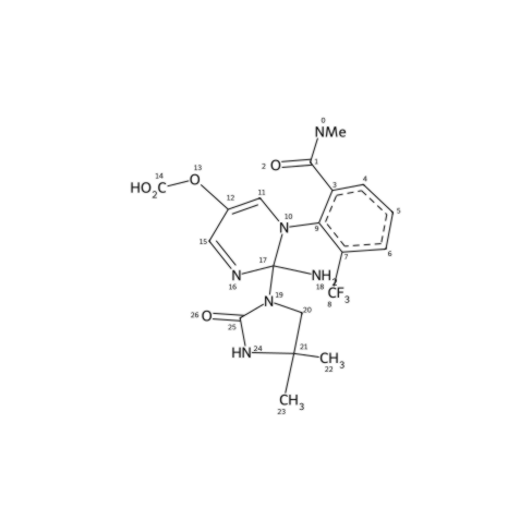 CNC(=O)c1cccc(C(F)(F)F)c1N1C=C(OC(=O)O)C=NC1(N)N1CC(C)(C)NC1=O